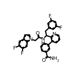 NC(=O)c1cccc(-c2cccnc2C(Cc2cc(F)cc(F)c2)NC(=O)Cn2ccc3cc(F)c(F)cc32)c1